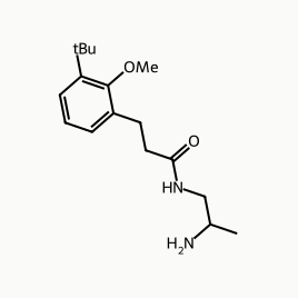 COc1c(CCC(=O)NCC(C)N)cccc1C(C)(C)C